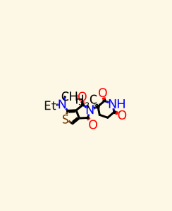 CCN(C)c1scc2c1C(=O)N([C@@]1(C)CCC(=O)NC1=O)C2=O